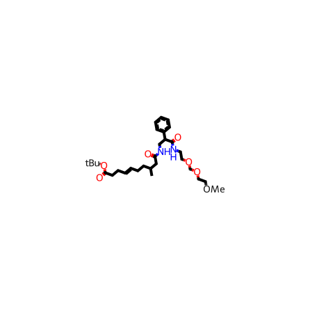 COCCOCOCCNC(=O)C(CNC(=O)CC(C)CCC=CCCC(=O)OC(C)(C)C)c1ccccc1